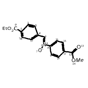 CCOC(=O)c1ccc(C=[N+]([O-])c2ccc(C(=O)OC)cc2)cc1